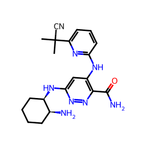 CC(C)(C#N)c1cccc(Nc2cc(N[C@@H]3CCCC[C@@H]3N)nnc2C(N)=O)n1